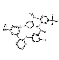 CNc1nccc(-c2cccnc2Oc2ccc(F)c(C(=O)Nc3cc(C(F)(F)F)ccc3N(C)[C@@H]3CCN(C)C3)c2)n1